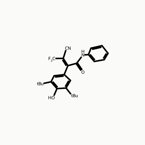 CC(C)(C)c1cc(C(C(=O)Nc2ccccc2)=C(C#N)C(F)(F)F)cc(C(C)(C)C)c1O